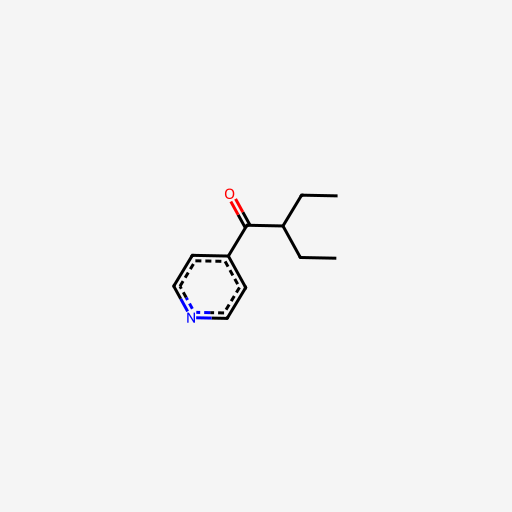 CCC(CC)C(=O)c1ccncc1